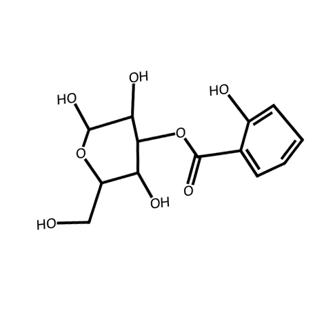 O=C(OC1C(O)C(O)OC(CO)C1O)c1ccccc1O